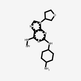 CCCNc1nc(NC2CCC(N)CC2)nc2c1ncn2C1CCOC1